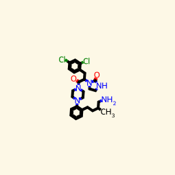 CC(CN)CCc1ccccc1N1CCN(C(=O)C(Cc2ccc(Cl)cc2Cl)N2CCNC2=O)CC1